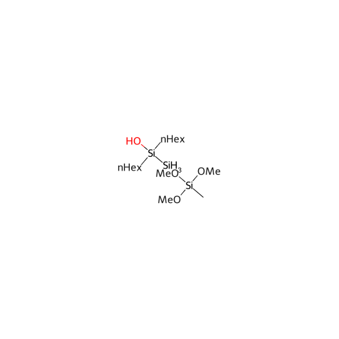 CCCCCC[Si](O)([SiH3])CCCCCC.CO[Si](C)(OC)OC